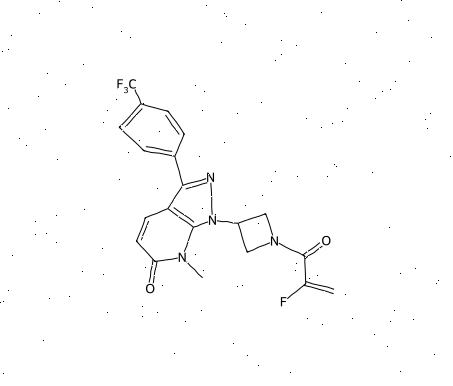 C=C(F)C(=O)N1CC(n2nc(-c3ccc(C(F)(F)F)cc3)c3ccc(=O)n(C)c32)C1